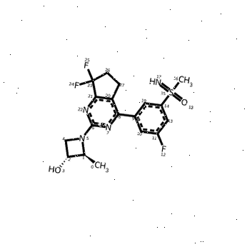 C[C@H]1[C@H](O)CN1c1nc(-c2cc(F)cc(S(C)(=N)=O)c2)c2c(n1)C(F)(F)CC2